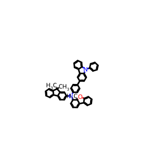 CC1(C)c2ccccc2-c2ccc(N(c3ccc(-c4ccc5c(c4)c4ccccc4n5-c4ccccc4)cc3)C3C=CC=C4c5ccccc5OC43C)cc21